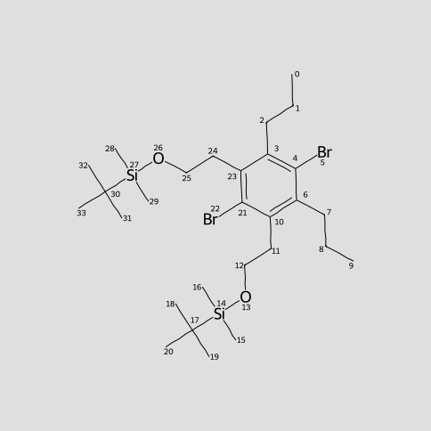 CCCc1c(Br)c(CCC)c(CCO[Si](C)(C)C(C)(C)C)c(Br)c1CCO[Si](C)(C)C(C)(C)C